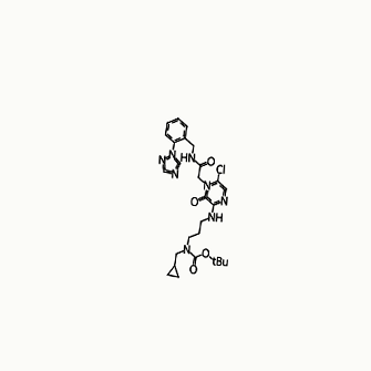 CC(C)(C)OC(=O)N(CCCNc1ncc(Cl)n(CC(=O)NCc2ccccc2-n2cncn2)c1=O)CC1CC1